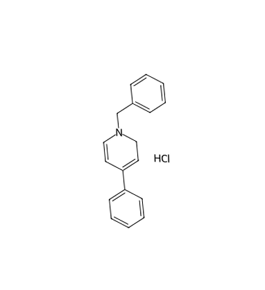 C1=CN(Cc2ccccc2)CC=C1c1ccccc1.Cl